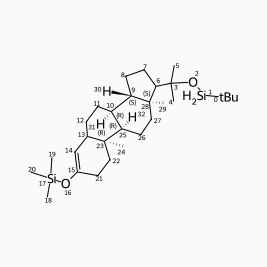 CC(C)(C)[SiH2]OC(C)(C)C1CC[C@H]2[C@@H]3CCC4C=C(O[Si](C)(C)C)CC[C@]4(C)[C@@H]3CC[C@]12C